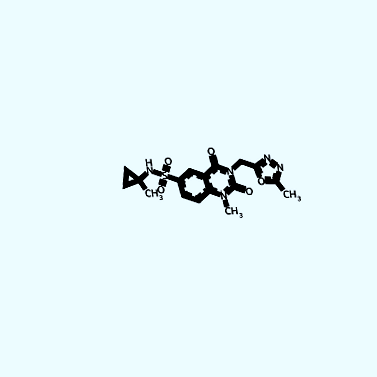 Cc1nnc(Cn2c(=O)c3cc(S(=O)(=O)NC4(C)CC4)ccc3n(C)c2=O)o1